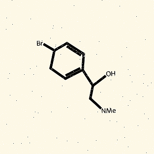 CNCC(O)C1=CCC(Br)C=C1